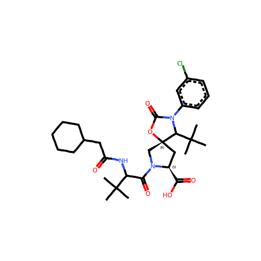 CC(C)(C)C(NC(=O)CC1CCCCC1)C(=O)N1C[C@@]2(C[C@H]1C(=O)O)OC(=O)N(c1cccc(Cl)c1)C2C(C)(C)C